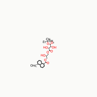 CCC(C)(C)OC(=O)C(O)C(O)C(=O)OCC(O)COC(=O)c1cccc2c(C=O)cccc12